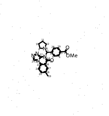 COC(=O)c1ccc(C(N2CCCC2)n2c(=O)c3cc(C)ccc3n3cnnc23)cc1